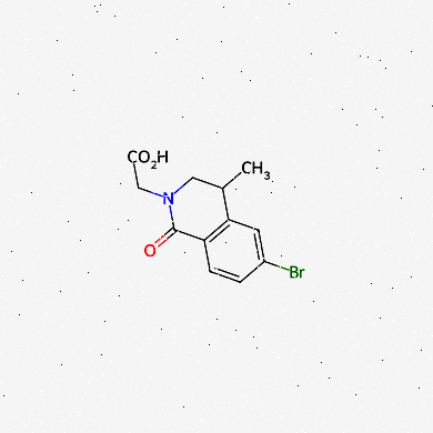 CC1CN(CC(=O)O)C(=O)c2ccc(Br)cc21